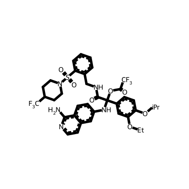 CCOc1cc(C(Nc2ccc3c(N)nccc3c2)(OC(=O)C(F)(F)F)C(=O)NCc2ccccc2S(=O)(=O)N2CCC(C(F)(F)F)CC2)ccc1OC(C)C